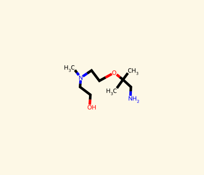 CN(CCO)CCOC(C)(C)CN